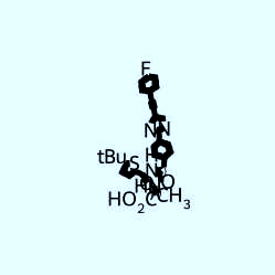 C[C@@H](NC(=O)[C@H](Cc1ccc(-c2ncc(C#Cc3ccc(F)cc3)cn2)cc1)NC(=O)c1ccc(C(C)(C)C)s1)C(=O)O